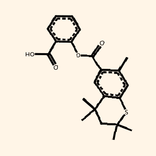 Cc1cc2c(cc1C(=O)Oc1ccccc1C(=O)O)C(C)(C)CC(C)(C)S2